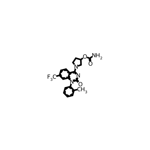 Cc1ccccc1-n1c(=O)nc(N2CCC(OC(N)=O)C2)c2ccc(C(F)(F)F)cc21